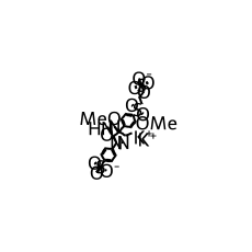 COc1cc(S(=O)(=O)CCOS(=O)(=O)[O-])c(OC)cc1C1(N=N)C(=O)N(c2ccc(S(=O)(=O)[O-])cc2)N=C1C.[K+].[K+]